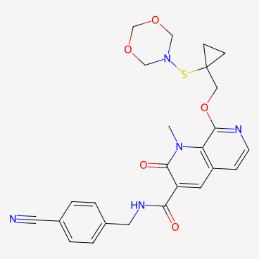 Cn1c(=O)c(C(=O)NCc2ccc(C#N)cc2)cc2ccnc(OCC3(SN4COCOC4)CC3)c21